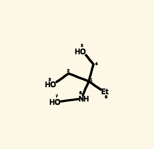 CCC(CO)(CO)NO